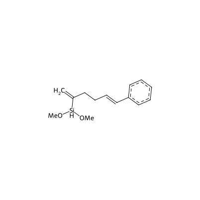 C=C(CCC=Cc1ccccc1)[SiH](OC)OC